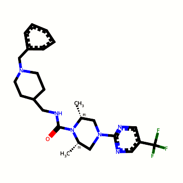 C[C@@H]1CN(c2ncc(C(F)(F)F)cn2)C[C@H](C)N1C(=O)NCC1CCN(Cc2ccccc2)CC1